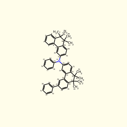 CC1(C)c2ccccc2-c2cc(N(c3ccccc3)c3ccc4c(c3)-c3cc(-c5ccccc5)ccc3C(C)(C)C4(C)C)ccc2C1(C)C